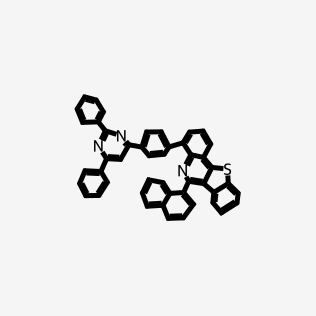 c1ccc(-c2cc(-c3ccc(-c4cccc5c4nc(-c4cccc6ccccc46)c4c6ccccc6sc54)cc3)nc(-c3ccccc3)n2)cc1